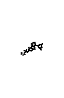 Cc1cc(C)cc(-c2ncnc3c2sc2cc(CC(C)(C)C(F)(F)F)sc23)c1